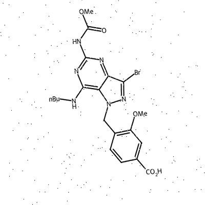 CCCCNc1nc(NC(=O)OC)nc2c(Br)nn(Cc3ccc(C(=O)O)cc3OC)c12